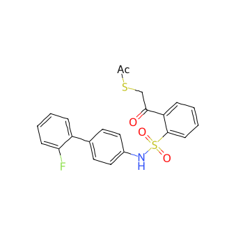 CC(=O)SCC(=O)c1ccccc1S(=O)(=O)Nc1ccc(-c2ccccc2F)cc1